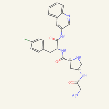 NCC(=O)N[C@H]1CN[C@H](C(=O)NC(Cc2ccc(F)cc2)C(=O)Nc2cnc3ccccc3c2)C1